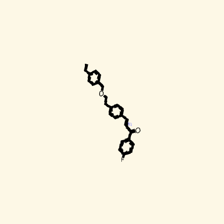 C=Cc1ccc(COCCc2ccc(/C=C/C(=O)c3ccc(F)cc3)cc2)cc1